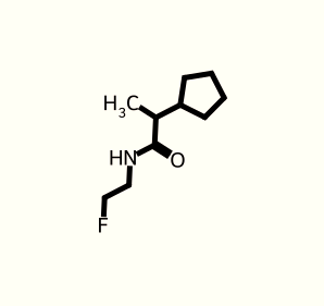 CC(C(=O)NCCF)C1CCCC1